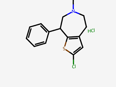 CN1CCc2cc(Cl)sc2C(c2ccccc2)C1.Cl